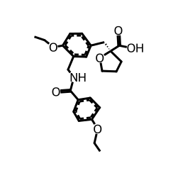 CCOc1ccc(C(=O)NCc2cc(C[C@]3(C(=O)O)CCCO3)ccc2OCC)cc1